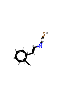 Cc1ccccc1/C=C/N=C=S